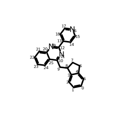 c1ccc2c(c1)CCC2Cc1nc(-c2ccncc2)nc2ccccc12